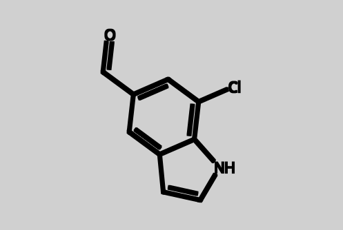 O=Cc1cc(Cl)c2[nH]ccc2c1